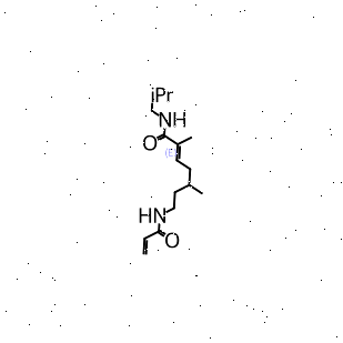 C=CC(=O)NCCC(C)C/C=C(\C)C(=O)NCC(C)C